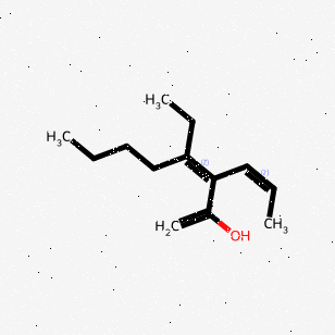 C=C(O)C(/C=C\C)=C(/CC)CCCC